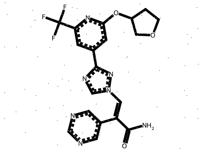 NC(=O)/C(=C/n1cnc(-c2cc(OC3CCOC3)nc(C(F)(F)F)c2)n1)c1cncnc1